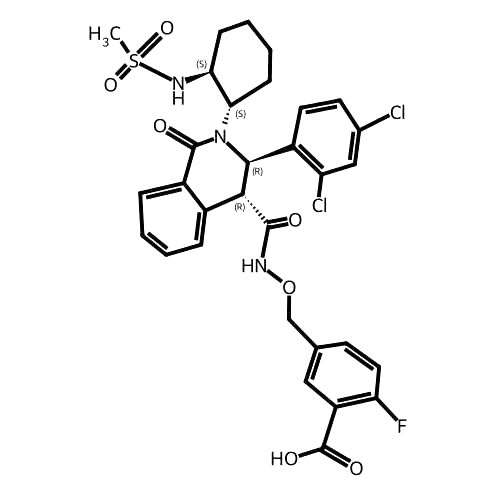 CS(=O)(=O)N[C@H]1CCCC[C@@H]1N1C(=O)c2ccccc2[C@@H](C(=O)NOCc2ccc(F)c(C(=O)O)c2)[C@@H]1c1ccc(Cl)cc1Cl